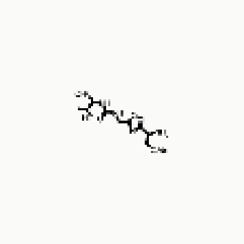 COCC(N)c1noc(CNC(=O)NC(C=O)C(C)O)n1